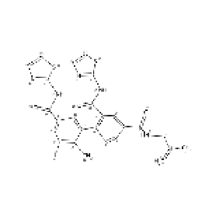 C=C(C)CNC(=O)c1ccc(-c2cc(C(=O)Nc3nccs3)cc(F)c2C)c(C(=O)Nc2nccs2)c1